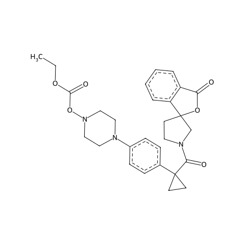 CCOC(=O)ON1CCN(c2ccc(C3(C(=O)N4CCC5(C4)OC(=O)c4ccccc45)CC3)cc2)CC1